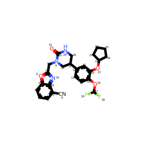 N#Cc1cccc2oc(CN3CC(c4ccc(OC(F)F)c(OC5CCCC5)c4)CNC3=O)nc12